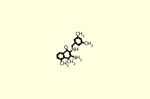 C=C1C(N)=C(NCc2cc(C)cc(C)c2)C(=O)c2cccc(C)c21